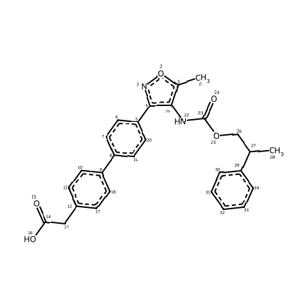 Cc1onc(-c2ccc(-c3ccc(CC(=O)O)cc3)cc2)c1NC(=O)OCC(C)c1ccccc1